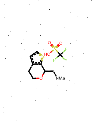 CNCC1OCCc2ccsc21.O=S(=O)(O)C(F)(F)F